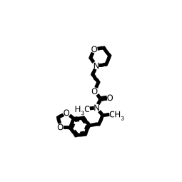 CC(Cc1ccc2c(c1)OCO2)N(C)C(=O)OCCN1CCCOC1